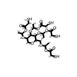 CC(OCC1OCC(OC(C)OC(=O)CS)C(OC(C)OC(=O)CS)C1OC(C)OC(=O)CS)OC(=O)CS